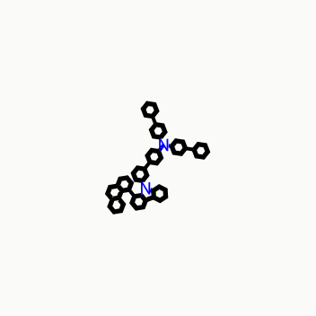 c1ccc(-c2ccc(N(c3ccc(-c4ccccc4)cc3)c3ccc(-c4cccc(-n5c6ccccc6c6cccc(-c7cccc8ccc9ccccc9c78)c65)c4)cc3)cc2)cc1